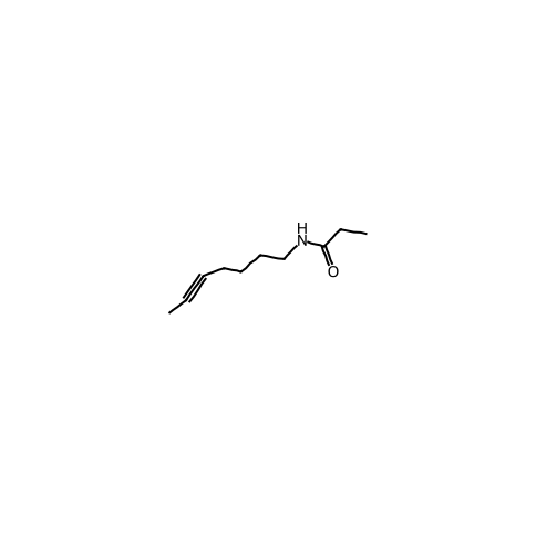 CC#CCCCCNC(=O)CC